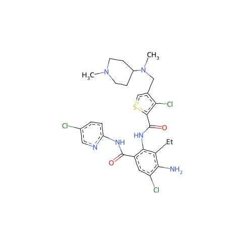 CCc1c(N)c(Cl)cc(C(=O)Nc2ccc(Cl)cn2)c1NC(=O)c1scc(CN(C)C2CCN(C)CC2)c1Cl